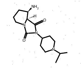 CC(C)N1CCC(N2C(=O)[C@@H]3[C@H](N)CCCN3C2=O)CC1